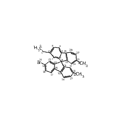 CCc1ccc2c(c1)C1(c3cc(C)ccc3-c3ccc(Br)cc31)c1cc(C)ccc1-2